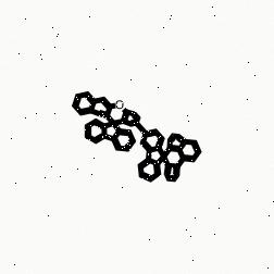 c1ccc2c(c1)-c1ccccc1C21c2cc(-c3ccc4c(c3)-c3ccccc3C43c4ccccc4-c4cccc5cccc3c45)ccc2Oc2cc3ccccc3cc21